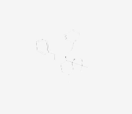 CCOC(=O)C(F)(F)[C@]1(C)O[C@H](CC)[C@H](C)[C@H](OCc2ccccc2)[C@H]1OCc1ccccc1